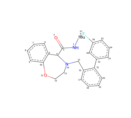 CC(C)(C)NC(=O)C1c2ccccc2OCCN1Cc1ccccc1-c1cccc(F)c1